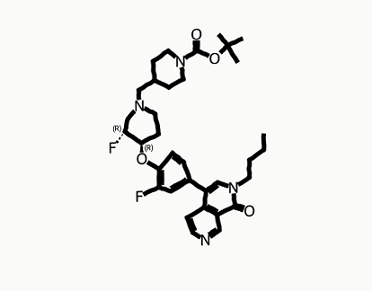 CCCCn1cc(-c2ccc(O[C@@H]3CCN(CC4CCN(C(=O)OC(C)(C)C)CC4)C[C@H]3F)c(F)c2)c2ccncc2c1=O